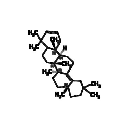 CC1(C)CC[C@]2(C)CC[C@]3(C)C(=C2C1)CC[C@@H]1[C@@]2(C)CC=CC(C)(C)C2CC[C@]13C